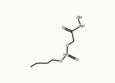 CCCCO[PH](=O)OCC(=O)NO